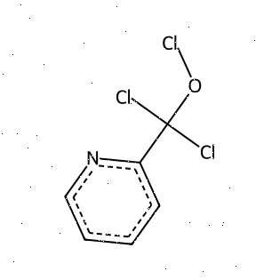 ClOC(Cl)(Cl)c1ccccn1